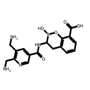 NCc1cc(C(=O)NC2Cc3cccc(C(=O)O)c3OB2O)cnc1CN